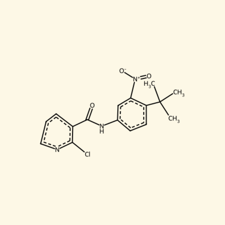 CC(C)(C)c1ccc(NC(=O)c2cccnc2Cl)cc1[N+](=O)[O-]